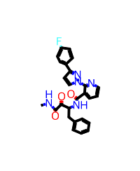 CNC(=O)C(=O)C(Cc1ccccc1)NC(=O)c1cccnc1-n1ccc(-c2ccc(F)cc2)n1